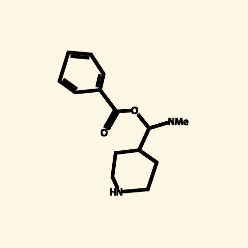 CNC(OC(=O)c1ccccc1)C1CCNCC1